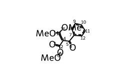 COOC(=O)C(C(=O)c1ccccc1)=C(OC)OC